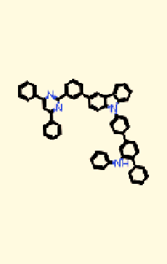 C1=CCC(c2ccc(C3C=CC(N4c5ccccc5C5C=C(c6cccc(-c7nc(-c8ccccc8)cc(-c8ccccc8)n7)c6)C=CC54)=CC3)cc2Nc2ccccc2)C=C1